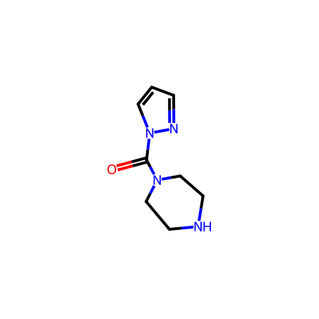 O=C(N1CCNCC1)n1cccn1